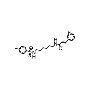 Cc1ccc(S(=O)(=O)NCCCCCCNC(=O)/C=C/c2cccnc2)cc1